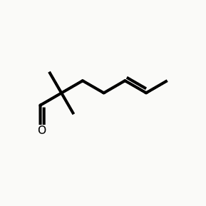 C/C=C/CCC(C)(C)C=O